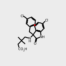 CC(C)(CNC1(Cc2cccc(Cl)c2)C(=O)Nc2cc(Cl)ccc21)CC(=O)O